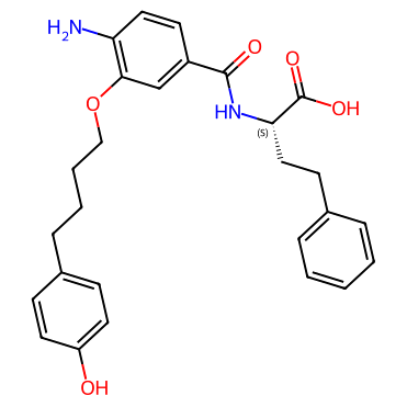 Nc1ccc(C(=O)N[C@@H](CCc2ccccc2)C(=O)O)cc1OCCCCc1ccc(O)cc1